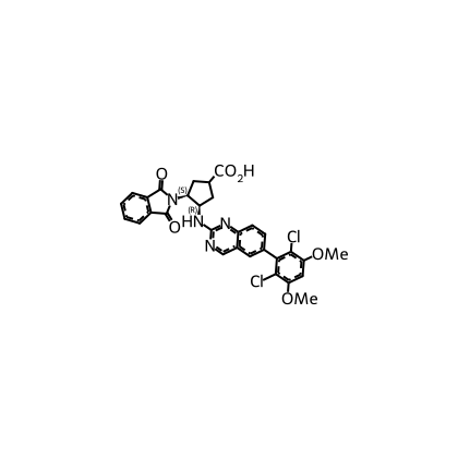 COc1cc(OC)c(Cl)c(-c2ccc3nc(N[C@@H]4CC(C(=O)O)C[C@@H]4N4C(=O)c5ccccc5C4=O)ncc3c2)c1Cl